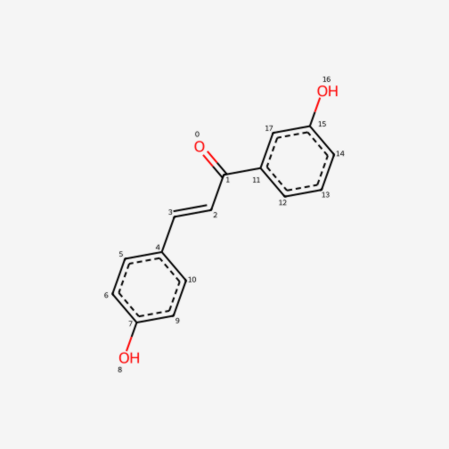 O=C(/C=C/c1ccc(O)cc1)c1cccc(O)c1